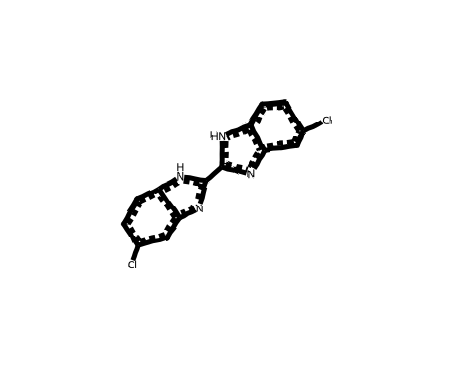 Clc1ccc2[nH]c(-c3nc4cc(Cl)ccc4[nH]3)nc2c1